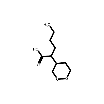 CCCCC(C(=O)O)C1CCOOC1